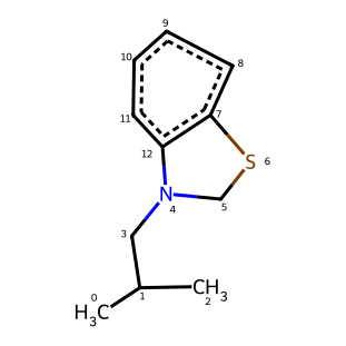 CC(C)CN1CSc2ccccc21